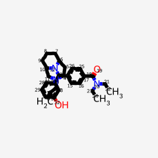 C=CCN1CCC2CCCC(C1)N2C(c1ccc(C(=O)N(CC)CC)cc1)c1cccc(O)c1